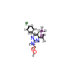 COOSN(C)c1nc(-c2ccc(F)cc2)c(C[PH](C)(C)C)c(C(C)C)n1